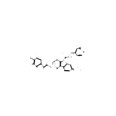 N#Cc1ccc2c3c(n(C(=O)NCc4ccnc(C(F)(F)F)c4)c2c1)CCN(CC=Cc1ccc(Cl)c(F)c1)C3